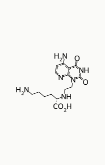 NCCCC[C@H](NCCn1c(=O)[nH]c(=O)c2c(N)ccnc21)C(=O)O